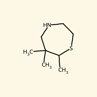 CC1SCCNCC1(C)C